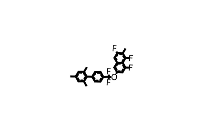 Cc1cc(C)c(-c2ccc(C(F)(F)Oc3cc(F)c4c(F)c(C)c(F)cc4c3)cc2)c(C)c1